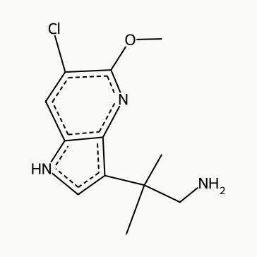 COc1nc2c(C(C)(C)CN)c[nH]c2cc1Cl